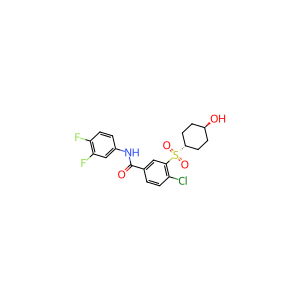 O=C(Nc1ccc(F)c(F)c1)c1ccc(Cl)c(S(=O)(=O)[C@H]2CC[C@H](O)CC2)c1